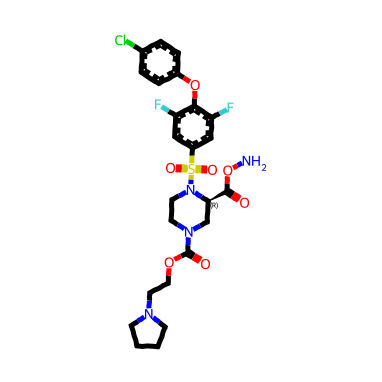 NOC(=O)[C@H]1CN(C(=O)OCCN2CCCC2)CCN1S(=O)(=O)c1cc(F)c(Oc2ccc(Cl)cc2)c(F)c1